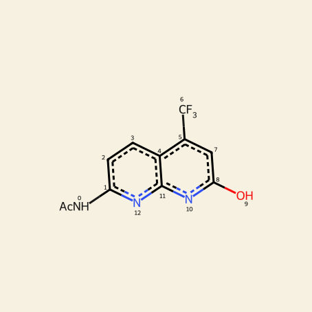 CC(=O)Nc1ccc2c(C(F)(F)F)cc(O)nc2n1